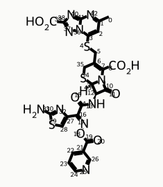 Cc1cc(SCC2=C(C(=O)O)N3C(=O)[C@@H](NC(=O)C(=NOC(=O)c4cccnc4)c4csc(N)n4)[C@H]3SC2)n2nc(C(=O)O)nc2n1